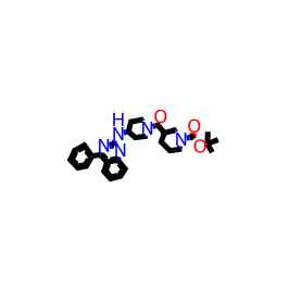 CC(C)(C)OC(=O)N1CCCC(C(=O)N2CCC(Nc3nc(-c4ccccc4)c4ccccc4n3)CC2)C1